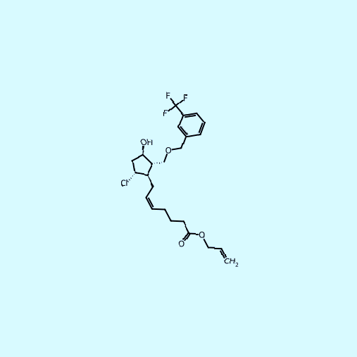 C=CCOC(=O)CCC/C=C\C[C@@H]1[C@@H](COCc2cccc(C(F)(F)F)c2)[C@H](O)C[C@H]1Cl